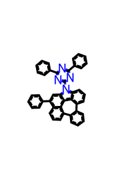 c1ccc(-c2nc(-c3ccccc3)nc(-n3c4cccc5c4c4c6c(cccc6c(-c6ccccc6)cc43)-c3ccccc3-5)n2)cc1